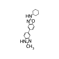 Cc1nc2cc(-c3ccc4oc(NC5CCCCC5)nc4c3)ccc2[nH]1